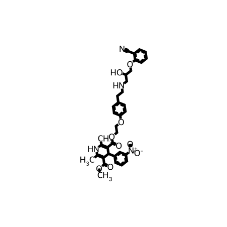 COC(=O)C1=C(C)NC(C)=C(C(=O)OCCOc2ccc(CCNCC(O)COc3ccccc3C#N)cc2)C1c1cccc([N+](=O)[O-])c1